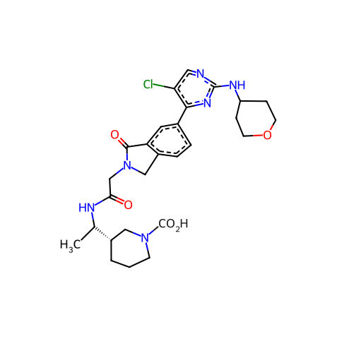 CC(NC(=O)CN1Cc2ccc(-c3nc(NC4CCOCC4)ncc3Cl)cc2C1=O)[C@H]1CCCN(C(=O)O)C1